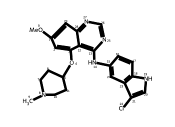 COc1cc(OC2CCN(C)CC2)c2c(Nc3ccc4[nH]cc(Cl)c4c3)ncnc2c1